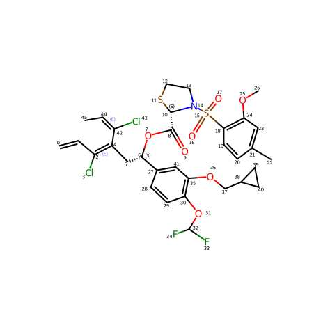 C=C/C(Cl)=C(C[C@H](OC(=O)[C@@H]1SCCN1S(=O)(=O)c1ccc(C)cc1OC)c1ccc(OC(F)F)c(OCC2CC2)c1)\C(Cl)=C/C